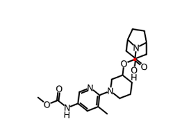 COC(=O)Nc1cnc(N2CCCC(OC(=O)N3C4CCC3CC(O)C4)C2)c(C)c1